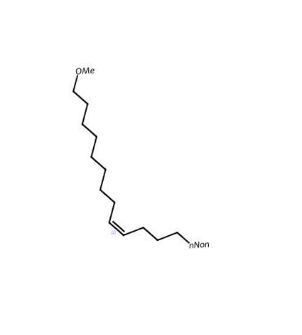 CCCCCCCCCCCC/C=C\CCCCCCCCOC